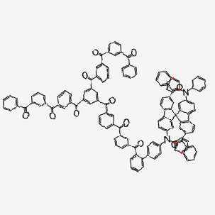 O=C(c1ccccc1)c1cccc(C(=O)c2cccc(C(=O)c3cc(C(=O)c4cccc(C(=O)c5cccc(C(=O)c6ccccc6)c5)c4)cc(C(=O)c4cccc(C(=O)c5cccc(C(=O)c6ccccc6-c6ccc(N(c7ccccc7)c7ccc8c(c7)C7(c9cc(C(=O)c%10ccccc%10)ccc9-c9ccc(N(c%10ccccc%10)c%10ccccc%10)cc97)c7cc(C(=O)c9ccccc9)ccc7-8)cc6)c5)c4)c3)c2)c1